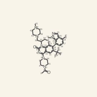 CC(=O)N1CCN(c2nc(=O)n3c4c(c(-c5ccc(F)c6cnn(C)c56)c(C(F)(F)F)cc24)SCC3CN2CCN(C)CC2)CC1